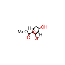 COC(=O)C1=C(Br)[C@H]2O[C@@H]1C[C@@H]2O